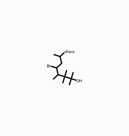 CCCCCC(C)CC(Br)C(C)C(C)(C)C(C)(C)O